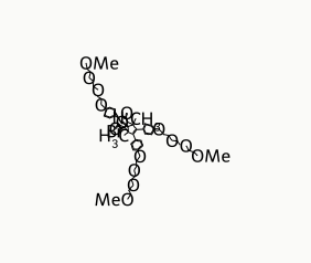 COCCOCCOCCOc1ccc(C2=C(c3ccc(OCCOCCOCCOC)cc3)C3(C)C(=O)C2(C)C2C(=O)N(c4ccc(OCCOCCOCCOC)cc4)C(=O)C23Br)cc1